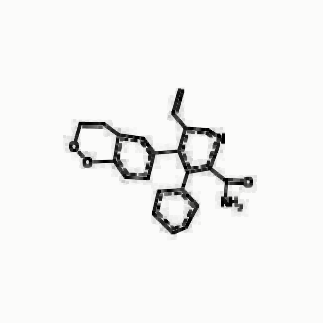 C=Cc1cnc(C(N)=O)c(-c2ccccc2)c1-c1ccc2c(c1)C=COO2